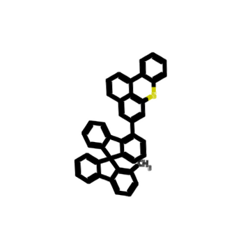 Cc1cccc2c1C1(c3ccccc3-2)c2ccccc2-c2c(-c3cc4c5c(cccc5c3)-c3ccccc3S4)cccc21